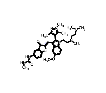 CNC(=O)Nc1ccc2c(c1)C(=O)/C(=C/c1c(-c3c(C)nn(C)c3C)n(CCN(C)CCN(C)C)c3ccc(OC)cc13)O2